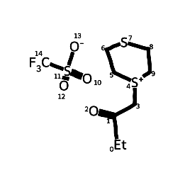 CCC(=O)C[S+]1CCSCC1.O=S(=O)([O-])C(F)(F)F